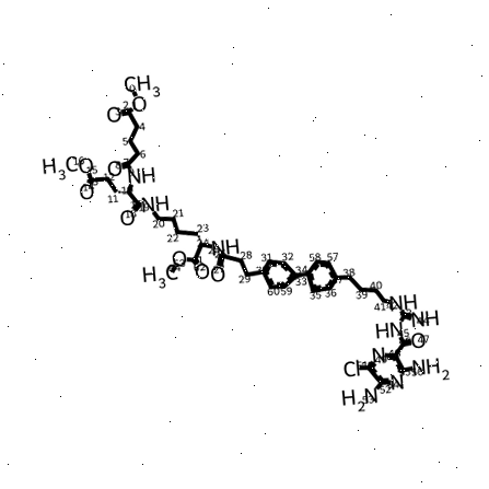 COC(=O)CCCC(=O)N[C@@H](CCC(=O)OC)C(=O)NCCCC[C@H](NC(=O)CCc1ccc(-c2ccc(CCCCNC(=N)NC(=O)c3nc(Cl)c(N)nc3N)cc2)cc1)C(=O)OC